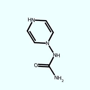 NC(=O)NN1C=CNC=C1